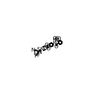 CN(c1ccccc1C(=O)Nc1ccc(S(=O)(=O)N2CCN(c3nc(C(F)(F)F)c(C#N)s3)CC2)cc1)S(C)(=O)=O